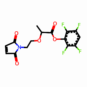 CC(OCCN1C(=O)C=CC1=O)C(=O)Oc1c(F)c(F)cc(F)c1F